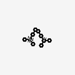 c1ccc(-c2cc(-c3ccccc3)nc(-c3ccc(-c4ccc5cccc(-c6ccc(-c7nc(-c8ccccc8)nc(-c8ccccc8)n7)cc6)c5c4)cc3)c2)cc1